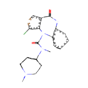 CN1CCC(N(C)C(=O)N2c3ccccc3NC(=O)c3csc(Cl)c32)CC1